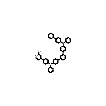 C=C/C=C(\C=C/C)c1ccc(N(c2ccccc2)c2ccc(-c3cccc(-c4ccc(N(c5ccccc5)c5ccc(C6=CCCC=C6)cc5)cc4)c3)cc2)cc1